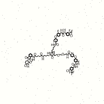 O=C(CCCC(=O)Nc1cccc2c1C(=O)N(C1CCC(=O)NC1=O)C2=O)NCCCC[C@H](NC(=O)CCCCNC(=O)c1ccc(Oc2ccc(NC(=O)Nc3ccc(Cl)c(C(F)(F)F)c3)c(F)c2)cn1)C(=O)NCCOCCOCCNC(=O)c1ccc(Oc2ccc(NC(=O)Nc3ccc(Cl)c(C(F)(F)F)c3)c(F)c2)cn1